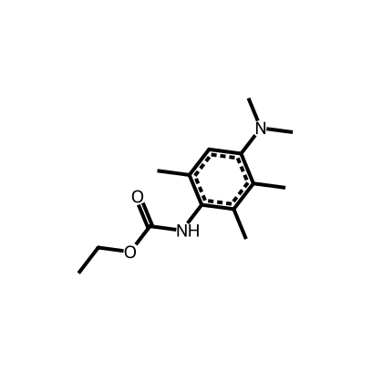 CCOC(=O)Nc1c(C)cc(N(C)C)c(C)c1C